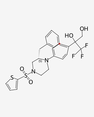 O=S(=O)(c1cccs1)N1CCN(c2ccc(C(O)(CO)C(F)(F)F)cc2)[C@@H](Cc2ccccc2)C1